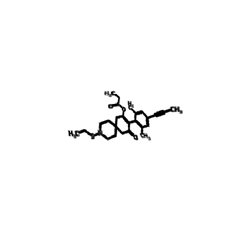 CC#Cc1cc(C)c(C2=C(OS(=O)CC)CC3(CCN(SCC)CC3)CC2=O)c(C)c1